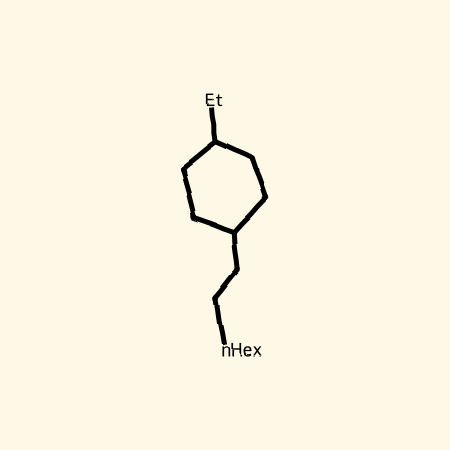 [CH2]CC1CCC(CCCCCCCC)CC1